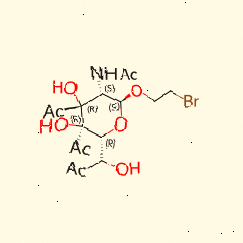 CC(=O)N[C@@H]1[C@@H](OCCBr)O[C@H](C(O)C(C)=O)[C@](O)(C(C)=O)[C@@]1(O)C(C)=O